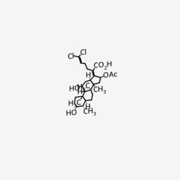 CC(=O)O[C@H]1C[C@@]2(C)[C@@H](C[C@@H](O)[C@H]3[C@@]4(C)CC[C@@H](O)[C@@H](C)[C@@H]4CC[C@@]32C)C1=C(CCC=C(Cl)Cl)C(=O)O